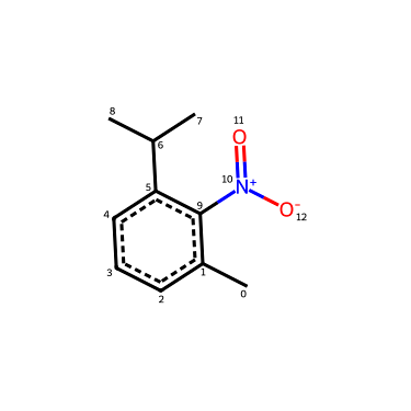 Cc1cccc(C(C)C)c1[N+](=O)[O-]